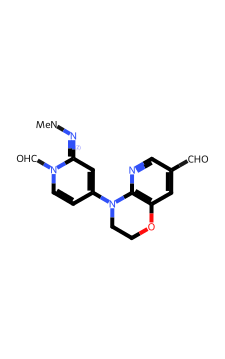 CN/N=c1/cc(N2CCOc3cc(C=O)cnc32)ccn1C=O